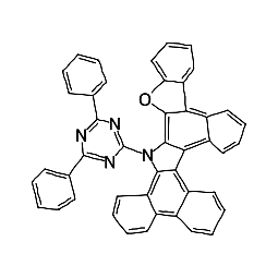 c1ccc(-c2nc(-c3ccccc3)nc(-n3c4c5ccccc5c5ccccc5c4c4c5ccccc5c5c6ccccc6oc5c43)n2)cc1